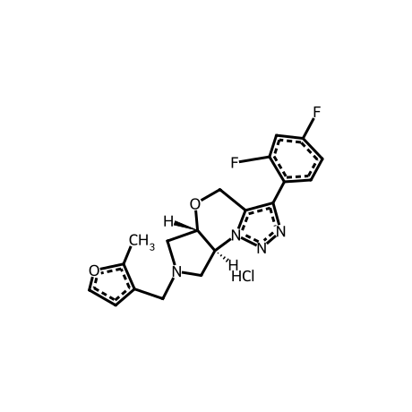 Cc1occc1CN1C[C@@H]2OCc3c(-c4ccc(F)cc4F)nnn3[C@H]2C1.Cl